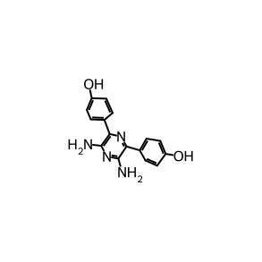 Nc1nc(N)c(-c2ccc(O)cc2)nc1-c1ccc(O)cc1